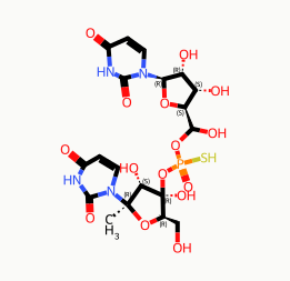 C[C@@]1(n2ccc(=O)[nH]c2=O)O[C@H](CO)[C@](O)(OP(=O)(S)OC(O)[C@H]2O[C@@H](n3ccc(=O)[nH]c3=O)[C@H](O)[C@@H]2O)[C@H]1O